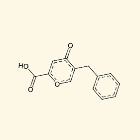 O=C(O)c1cc(=O)c(Cc2ccccc2)co1